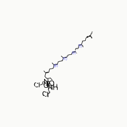 CC(C)=CCC/C(C)=C/CC/C(C)=C/CC/C=C(\C)CC/C=C(\C)CCC=C(C)CC1CCOP(=O)(NCCCl)N1CCCl